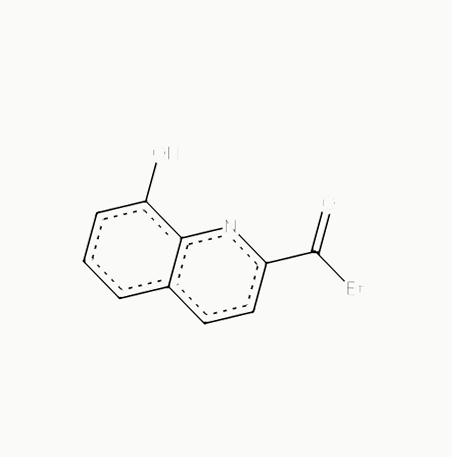 CCC(=O)c1ccc2cccc(O)c2n1